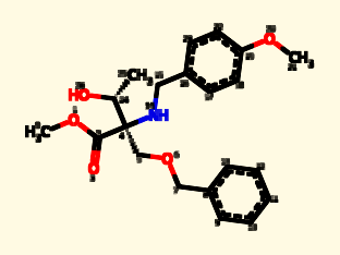 COC(=O)[C@](COCc1ccccc1)(NCc1ccc(OC)cc1)[C@@H](C)O